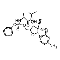 C#CC1(N)[C@@H](O)[C@@H](COP(=O)(N[C@@H](C)C(=O)OC(C)C)Oc2ccccc2)O[C@H]1n1ccc(N)nc1=O